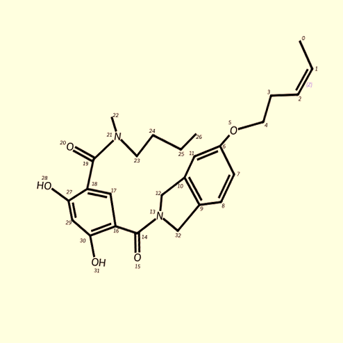 C/C=C\CCOc1ccc2c(c1)CN(C(=O)c1cc(C(=O)N(C)CCCC)c(O)cc1O)C2